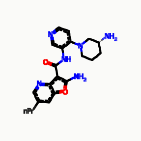 CCCc1cnc2c(C(=O)Nc3cnccc3N3CCC[C@@H](N)C3)c(N)oc2c1